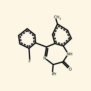 Cc1ccc2c(c1)C(c1ccccc1F)=NC(C(C)C)C(=O)N2